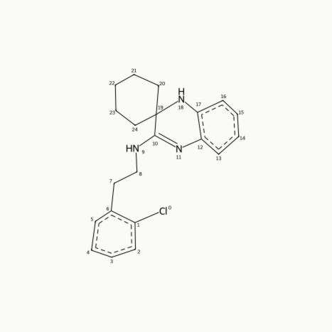 Clc1ccccc1CCNC1=Nc2ccccc2NC12CCCCC2